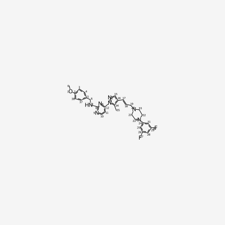 COc1ccc(CNc2nccc(-n3ncc(C=CCN4CCN(c5cc(F)cc(F)c5)CC4)c3C)n2)cc1